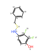 Oc1ccc(NSCc2ccccc2)c(F)c1F